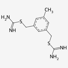 Cc1cc(CSC(=N)N)cc(CSC(=N)N)c1